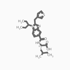 CCC(C)C[C@H](NC(=O)c1ccc2c(c1)nc(Cc1ccsc1)n2C(CC)CC)C(=O)O